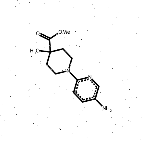 COC(=O)C1(C)CCN(c2ccc(N)cn2)CC1